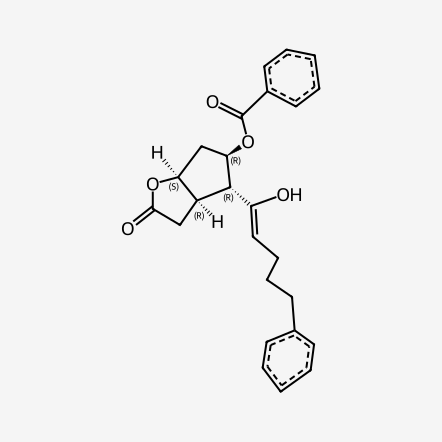 O=C1C[C@@H]2[C@@H](C(O)=CCCCc3ccccc3)[C@H](OC(=O)c3ccccc3)C[C@@H]2O1